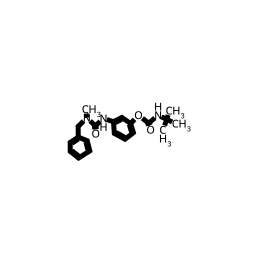 CN(Cc1ccccc1)C(=O)Nc1cccc(OC(=O)NC(C)(C)C)c1